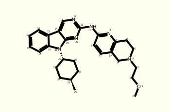 COCCN1CCc2nc(Nc3ncc4c5ccccc5n([C@H]5CC[C@H](C)CC5)c4n3)ccc2C1